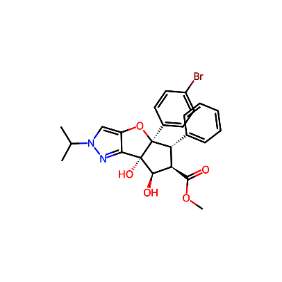 COC(=O)[C@H]1[C@@H](O)[C@@]2(O)c3nn(C(C)C)cc3O[C@@]2(c2ccc(Br)cc2)[C@@H]1c1ccccc1